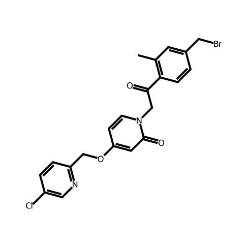 Cc1cc(CBr)ccc1C(=O)Cn1ccc(OCc2ccc(Cl)cn2)cc1=O